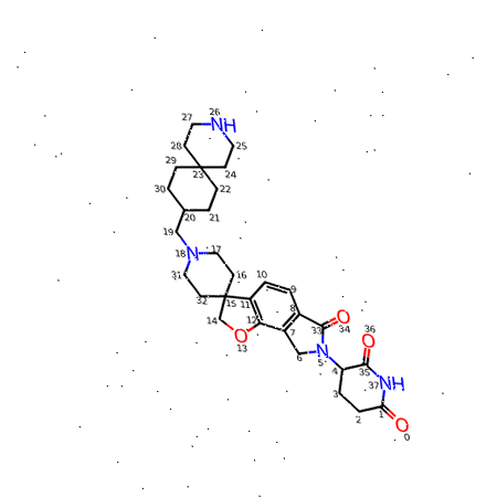 O=C1CCC(N2Cc3c(ccc4c3OCC43CCN(CC4CCC5(CCNCC5)CC4)CC3)C2=O)C(=O)N1